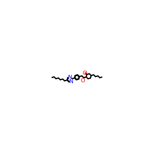 CCCCCCCc1cnc(-c2ccc(CC(=O)C3CCC(CCCCC)CC3=O)cc2)nc1